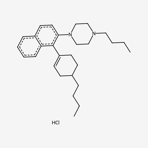 CCCCC1CC=C(c2c(N3CCN(CCCC)CC3)ccc3ccccc23)CC1.Cl